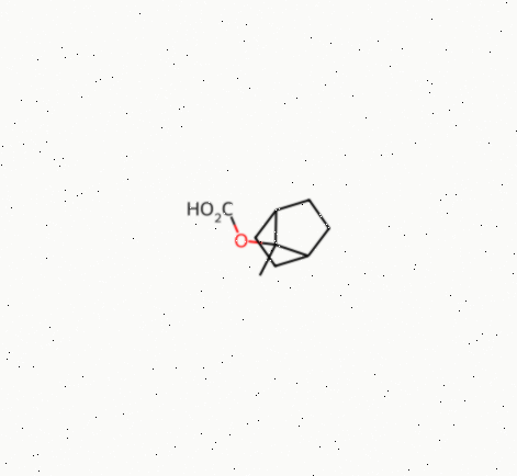 CC1(OC(=O)O)C2CCC1CC2